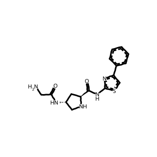 NCC(=O)N[C@H]1CN[C@H](C(=O)Nc2nc(-c3ccccc3)cs2)C1